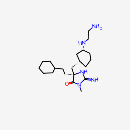 CN1C(=N)N[C@](CCC2CCCCC2)(C[C@H]2CCC[C@@H](NCCN)C2)C1=O